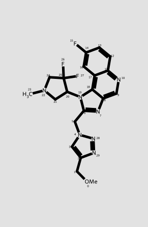 COCc1cn(Cc2nc3cnc4ccc(F)cc4c3n2C2CN(C)CC2(F)F)nn1